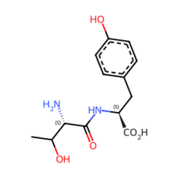 CC(O)[C@H](N)C(=O)N[C@@H](Cc1ccc(O)cc1)C(=O)O